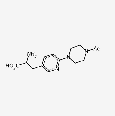 CC(=O)N1CCN(c2ccc(CC(N)C(=O)O)cn2)CC1